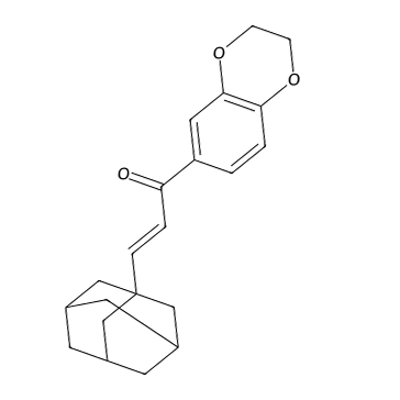 O=C(C=CC12CC3CC(CC(C3)C1)C2)c1ccc2c(c1)OCCO2